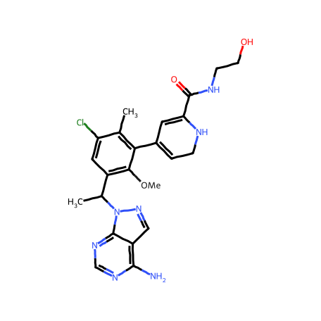 COc1c(C(C)n2ncc3c(N)ncnc32)cc(Cl)c(C)c1C1=CCNC(C(=O)NCCO)=C1